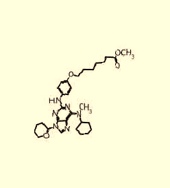 COC(=O)CCCCCCOc1ccc(Nc2nc(N(C)C3CCCCC3)c3ncn(C4CCCCO4)c3n2)cc1